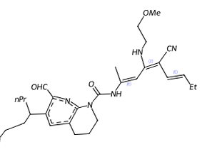 CC/C=C/C(C#N)=C(\C=C(/C)NC(=O)N1CCCc2cc(C(CCC)CCC(C)CC)c(C=O)nc21)NCCOC